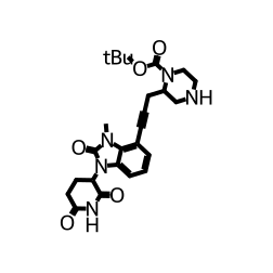 Cn1c(=O)n(C2CCC(=O)NC2=O)c2cccc(C#CCC3CNCCN3C(=O)OC(C)(C)C)c21